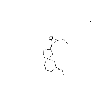 C/C=C1\CCC[C@@]2(CC[C@@H](C3OC3CC)C2)C1